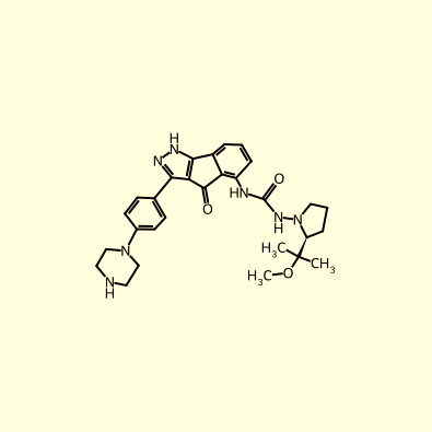 COC(C)(C)[C@@H]1CCCN1NC(=O)Nc1cccc2c1C(=O)c1c(-c3ccc(N4CCNCC4)cc3)n[nH]c1-2